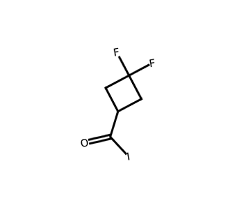 O=C(I)C1CC(F)(F)C1